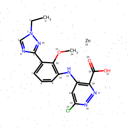 CCn1cnc(-c2cccc(Nc3cc(Cl)nnc3C(=O)O)c2OC)n1.[Zn]